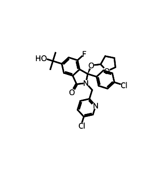 CC(C)(O)c1cc(F)c2c(c1)C(=O)N(Cc1ccc(Cl)cn1)[C@@]2(OC1CCCO1)c1ccc(Cl)cc1